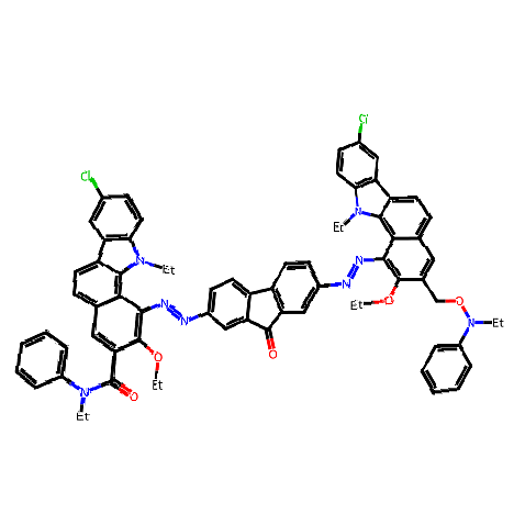 CCOc1c(CON(CC)c2ccccc2)cc2ccc3c4cc(Cl)ccc4n(CC)c3c2c1N=Nc1ccc2c(c1)C(=O)c1cc(N=Nc3c(OCC)c(C(=O)N(CC)c4ccccc4)cc4ccc5c6cc(Cl)ccc6n(CC)c5c34)ccc1-2